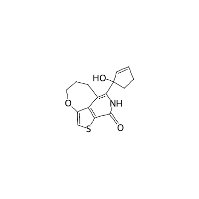 O=c1[nH]c(C2(O)C=CCC2)c2c3c(csc13)OCCC2